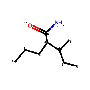 CCCC([C](C)CC)C(N)=O